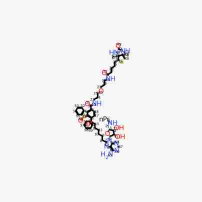 CCCNC[C@H]1O[C@@H](n2c(CCCCCCC(=O)c3ccc(C(=O)NCCCOCCCNC(=O)CCCC[C@@H]4SC[C@@H]5NC(=O)N[C@@H]54)cc3P(=O)(c3ccccc3)c3ccccc3)nc3c(N)ncnc32)[C@@H](O)C1O